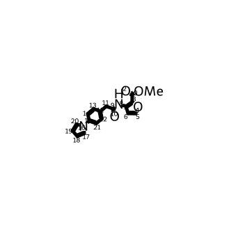 COC(=O)c1occc1NC(=O)Cc1ccc(-n2cccc2)cc1